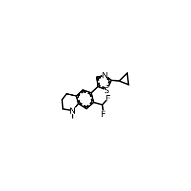 CN1CCCc2cc(-c3cnc(C4CC4)s3)c(C(F)F)cc21